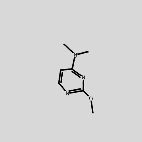 COc1nc[c]c(N(C)C)n1